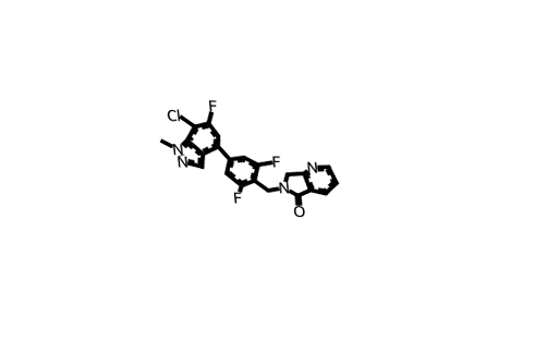 Cn1ncc2c(-c3cc(F)c(CN4Cc5ncccc5C4=O)c(F)c3)cc(F)c(Cl)c21